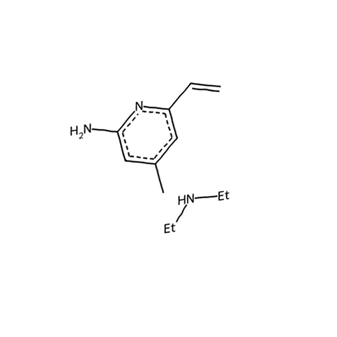 C=Cc1cc(C)cc(N)n1.CCNCC